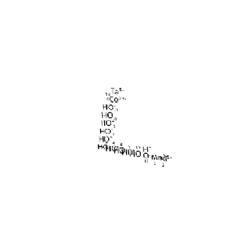 [Co+2].[Mn+2].[Ni+2].[OH-].[OH-].[OH-].[OH-].[OH-].[OH-].[OH-].[OH-].[OH-].[OH-].[OH-].[Ta+5]